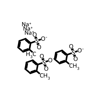 Cc1ccccc1S(=O)(=O)[O-].Cc1ccccc1S(=O)(=O)[O-].Cc1ccccc1S(=O)(=O)[O-].[Na+].[Na+].[Na+]